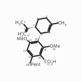 C=C(C)[C@@H]1CCC(C)=C[C@@H]1c1c(OC)cc(CCCCC)c(C(=O)O)c1OC